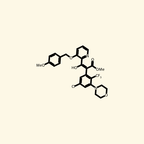 COC(=O)/C(=C(/O)c1ncccc1OCc1ccc(OC)cc1)c1cc(Cl)cc(N2CCOCC2)c1C(F)(F)F